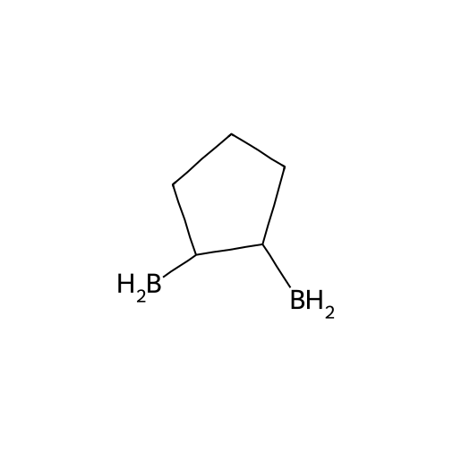 BC1CCCC1B